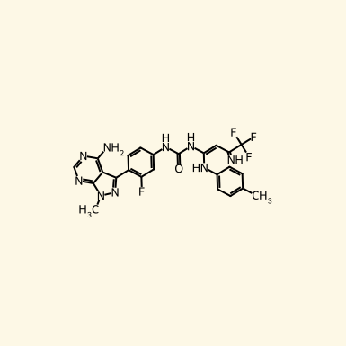 Cc1ccc(N/C(=C\C(=N)C(F)(F)F)NC(=O)Nc2ccc(-c3nn(C)c4ncnc(N)c34)c(F)c2)cc1